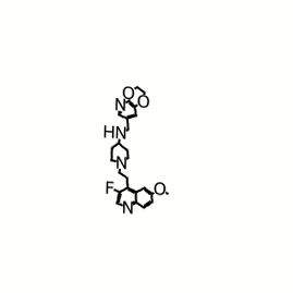 COc1ccc2ncc(F)c(CCN3CCC(NCc4cnc5c(c4)OCCO5)CC3)c2c1